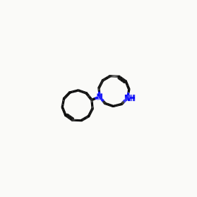 C1=CCCCC(N2CCCC=CCNCCC2)CCCCC1